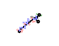 CC(C)(C)[C@@H](NC(=O)C(O)CC[C@H](N)C(=O)N(N)CC(=O)NCCNC(=O)CN1C(=O)C=CC1=O)c1nc(-c2cc(F)ccc2F)cn1Cc1ccccc1